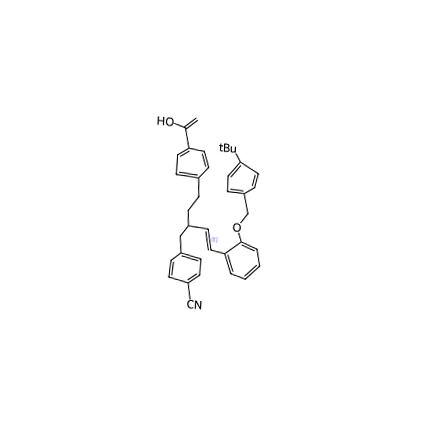 C=C(O)c1ccc(CCC(/C=C/c2ccccc2OCc2ccc(C(C)(C)C)cc2)Cc2ccc(C#N)cc2)cc1